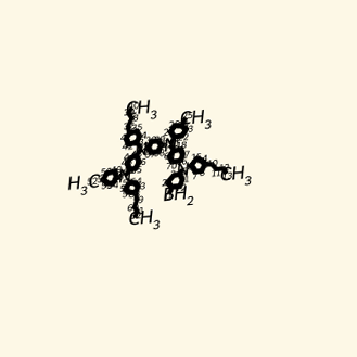 Bc1ccc(N(c2ccc(CCCC)cc2)c2ccc(N(c3ccc(C)cc3)c3ccc(N(c4ccc(CCCC)cc4)c4ccc(N(c5ccc(C)cc5)c5ccc(CCCC)cc5)cc4)cc3)cc2)cc1